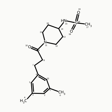 Cc1cc(C)cc(CCC(=O)N2CCC(NS(C)(=O)=O)CC2)c1